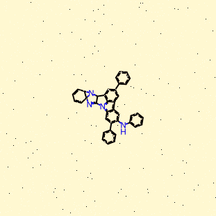 C1=CC2N3C4C(=NC23C=C1)n1c2cc(-c3ccccc3)c(Nc3ccccc3)cc2c2cc(-c3ccccc3)cc4c21